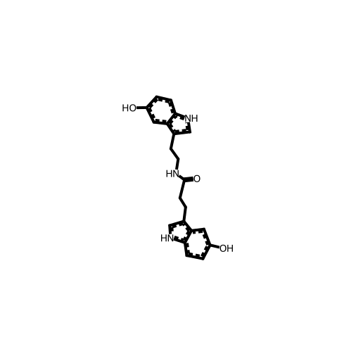 O=C(CCc1c[nH]c2ccc(O)cc12)NCCc1c[nH]c2ccc(O)cc12